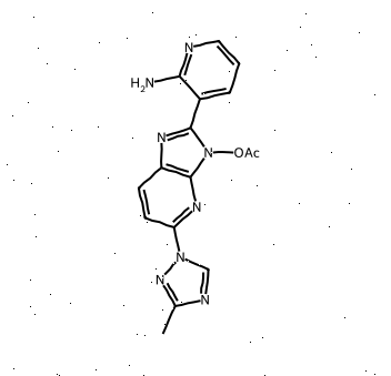 CC(=O)On1c(-c2cccnc2N)nc2ccc(-n3cnc(C)n3)nc21